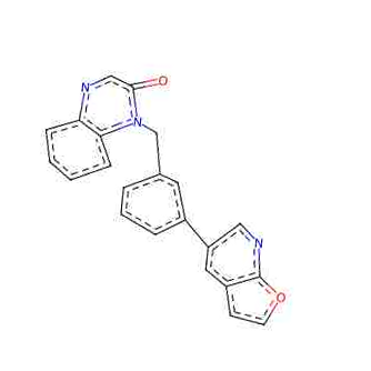 O=c1cnc2ccccc2n1Cc1cccc(-c2cnc3occc3c2)c1